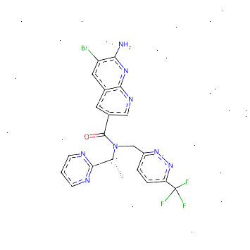 C[C@H](c1ncccn1)N(Cc1ccc(C(F)(F)F)nn1)C(=O)c1cnc2nc(N)c(Br)cc2c1